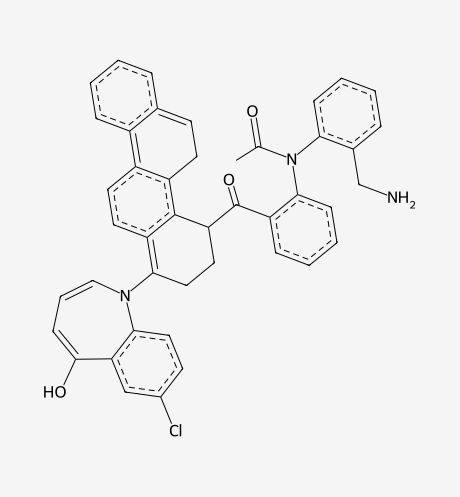 CC(=O)N(c1ccccc1CN)c1ccccc1C(=O)C1CCC(N2C=CC=C(O)c3cc(Cl)ccc32)=c2ccc3c(c21)CC=c1ccccc1=3